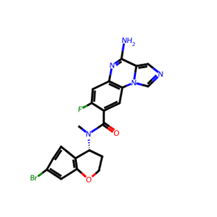 CN(C(=O)c1cc2c(cc1F)nc(N)c1cncn12)[C@@H]1CCOc2cc(Br)ccc21